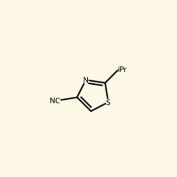 CC(C)c1nc(C#N)cs1